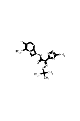 CCC1=C(C(=O)O)N2C[C@@H](NC(=O)/C(=N\OC(C)(C)C(=O)O)c3nsc(N)n3)C2SC1